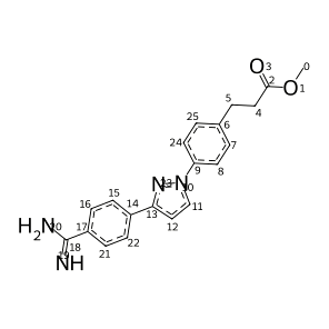 COC(=O)CCc1ccc(-n2ccc(-c3ccc(C(=N)N)cc3)n2)cc1